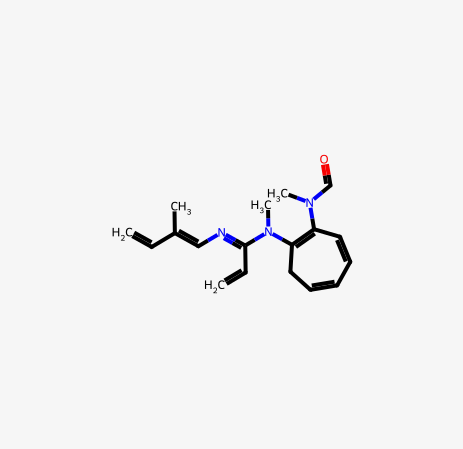 C=C/C(C)=C/N=C(\C=C)N(C)C1=C(N(C)C=O)C=CC=CC1